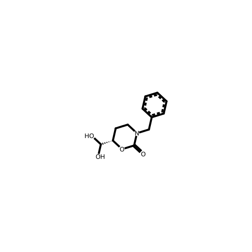 O=C1O[C@H](C(O)O)CCN1Cc1ccccc1